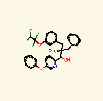 O=C(O)C(Cc1ccccc1)(Cc1cccc(OC(F)(F)C(F)F)c1)C(O)c1ccc(Oc2ccccc2)cn1